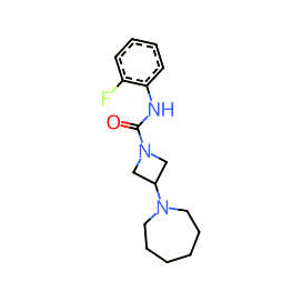 O=C(Nc1ccccc1F)N1CC(N2CCCCCC2)C1